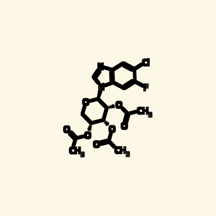 CC(=O)O[C@@H]1[C@H](OC(C)=O)[C@H](OC(C)=O)CO[C@H]1n1cnc2cc(Cl)c(F)cc21